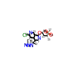 CC[C@@](C)(N=[N+]=[N-])c1cnc(O[C@H](C)C[C@@H](C)S(C)(=O)=O)c2cnc(Cl)cc12